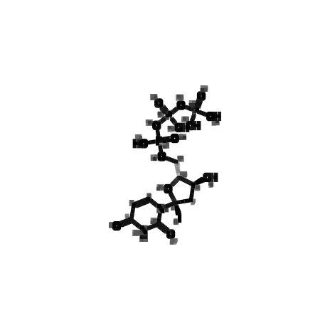 O=c1ccn([C@@]2(I)C[C@H](O)[C@@H](COP(=O)(O)OP(=O)(O)OP(=O)(O)O)O2)c(=O)[nH]1